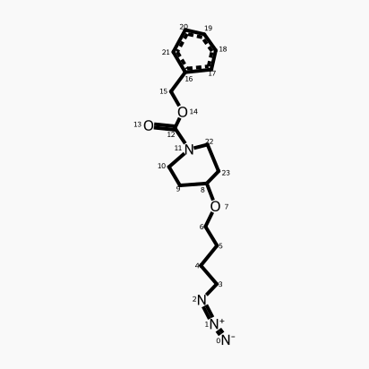 [N-]=[N+]=NCCCCOC1CCN(C(=O)OCc2ccccc2)CC1